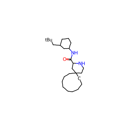 CC(C)(C)CC1CCCC(NC(=O)C2CC3(CCCCCCCCC3)CCN2)C1